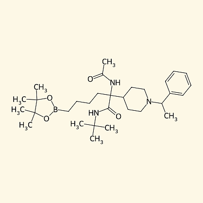 CC(=O)NC(CCCCB1OC(C)(C)C(C)(C)O1)(C(=O)NC(C)(C)C)C1CCN(C(C)c2ccccc2)CC1